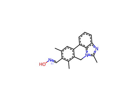 Cc1cc2c(c(C)c1/C=N/O)Cn1c(C)nc3cccc-2c31